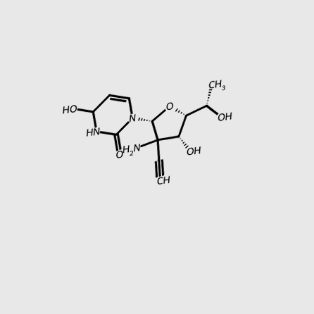 C#CC1(N)[C@@H](O)[C@@H]([C@H](C)O)O[C@H]1N1C=CC(O)NC1=O